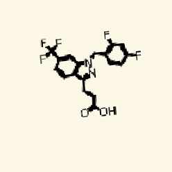 O=C(O)CCc1nn(Cc2ccc(F)cc2F)c2cc(C(F)(F)F)ccc12